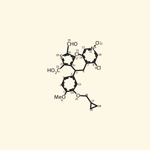 COc1ccc(C(Cc2c(Cl)c[n+]([O-])cc2Cl)c2cc(C=O)sc2C(=O)O)cc1OCC1CC1